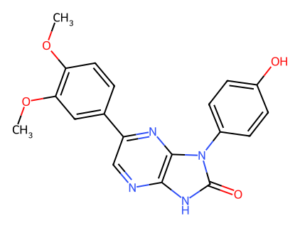 COc1ccc(-c2cnc3[nH]c(=O)n(-c4ccc(O)cc4)c3n2)cc1OC